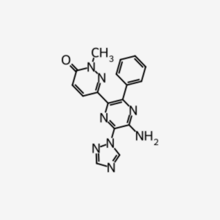 Cn1nc(-c2nc(-n3cncn3)c(N)nc2-c2ccccc2)ccc1=O